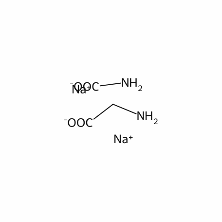 NC(=O)[O-].NCC(=O)[O-].[Na+].[Na+]